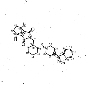 O=C1C2C(C(=O)N1C[C@@H]1CCCC[C@H]1CN1CCN(c3nsc4ccccc34)CC1)[C@H]1CC[C@@H]2C1